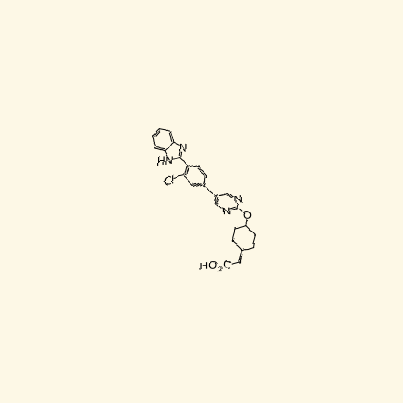 O=C(O)C[C@H]1CC[C@@H](Oc2ncc(-c3ccc(-c4nc5ccccc5[nH]4)c(Cl)c3)cn2)CC1